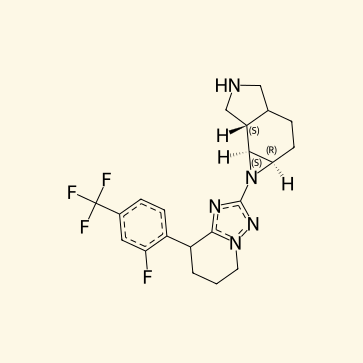 Fc1cc(C(F)(F)F)ccc1C1CCCn2nc(N3[C@H]4[C@@H]5CNCC5CC[C@H]43)nc21